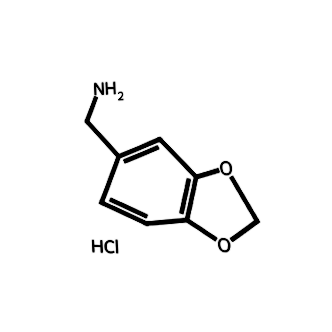 Cl.NCc1ccc2c(c1)OCO2